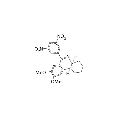 COc1cc2c(cc1OC)[C@@H]1CCCC[C@@H]1N=C2c1cc([N+](=O)[O-])cc([N+](=O)[O-])c1